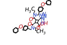 CCCN(Cc1ccc(Oc2ccccc2)cc1)C(=O)C1C(C(=O)O)C(c2nnn[nH]2)C1C(=O)N(CCC)Cc1ccc(Oc2ccccc2)cc1